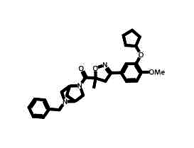 COc1ccc(C2=NOC(C)(C(=O)N3CC4CC3CN4Cc3ccccc3)C2)cc1OC1CCCC1